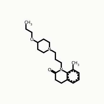 CCCOC1CCN(CCCN2C(=O)CCc3cccc(C)c32)CC1